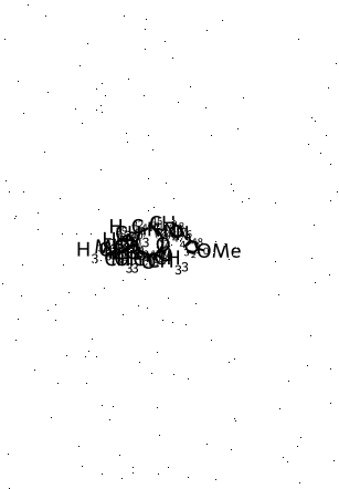 COc1cccc(CN2CCN(C[C@@H]3COC(=O)C(C)(C)C(=O)[C@H](C)[C@@H](O[C@@H]4O[C@H](C)C[C@H](N(C)C)[C@H]4O)[C@](C)(OC)C[C@@H](C)CN3C)CC2)c1